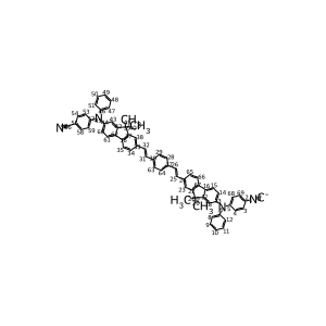 [C-]#[N+]c1ccc(N(c2ccccc2)c2ccc3c(c2)C(C)(C)c2cc(/C=C/c4ccc(/C=C/c5ccc6c(c5)C(C)(C)c5cc(N(c7ccccc7)c7ccc(C#N)cc7)ccc5-6)cc4)ccc2-3)cc1